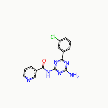 Nc1nc(NC(=O)c2cccnc2)nc(-c2cccc(Cl)c2)n1